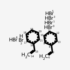 Br.Br.Br.Br.Br.Br.C=Cc1ccccc1.C=Cc1ccccc1